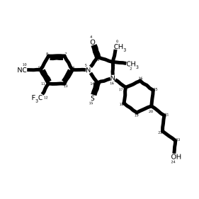 CC1(C)C(=O)N(c2ccc(C#N)c(C(F)(F)F)c2)C(=S)N1C1CCC(CCCO)CC1